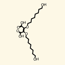 O=C(O)/C(OCCCCCCCCO)=C(/OCCCCCCCCO)C(=O)O